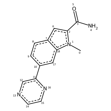 Cn1c(C(N)=O)cc2ccc(-c3cnccn3)cc21